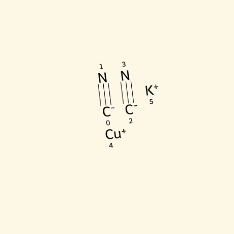 [C-]#N.[C-]#N.[Cu+].[K+]